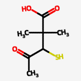 CC(=O)C(S)C(C)(C)C(=O)O